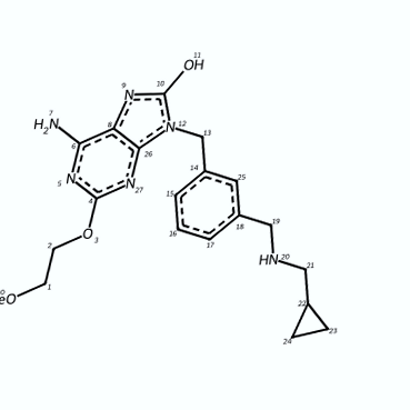 COCCOc1nc(N)c2nc(O)n(Cc3cccc(CNCC4CC4)c3)c2n1